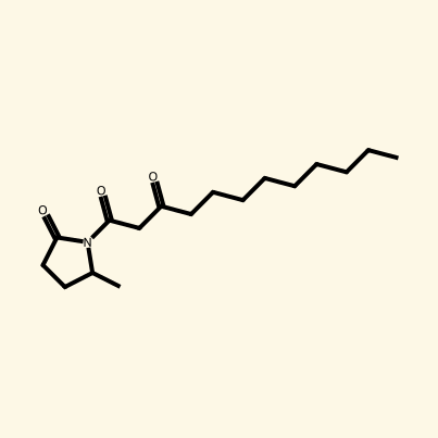 CCCCCCCCCC(=O)CC(=O)N1C(=O)CCC1C